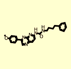 COc1ccc(-c2cnc3ccc(NC(=O)NCCCCc4ccccc4)nc3n2)cc1